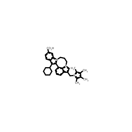 Cc1c(C)c(C)n(Cc2cn3c4c(cccc24)-c2c(C4CCCCC4)c4ccc(C(=O)O)cc4n2CCC3)c1C